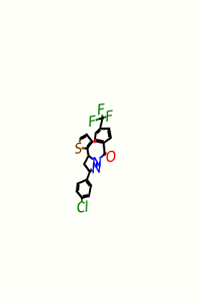 O=C(c1ccc(C(F)(F)F)cc1)N1N=C(c2ccc(Cl)cc2)CC1c1cccs1